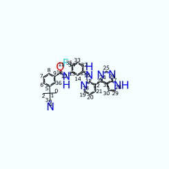 CC(C)(C#N)c1cccc(C(=O)Nc2cc(Nc3ncccc3-c3ncnc4[nH]ccc34)ccc2F)c1